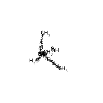 CCCCCCCCCCCCCCCCCC(=O)O[Si](CCCCCCC)(OCC)OC(=O)CCCCCCCCCCCCCCCCC.OC=S